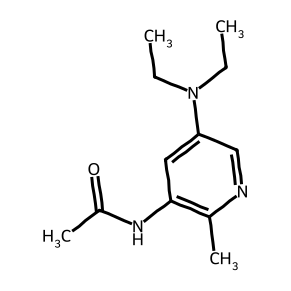 CCN(CC)c1cnc(C)c(NC(C)=O)c1